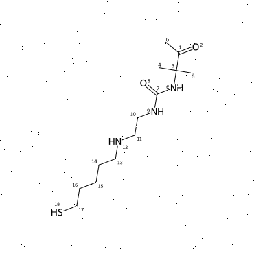 CC(=O)C(C)(C)NC(=O)NCCNCCCCCS